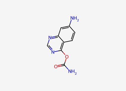 NC(=O)Oc1ncnc2cc(N)ccc12